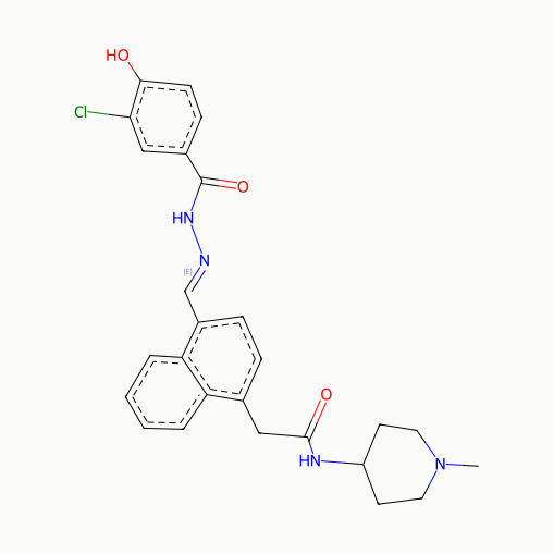 CN1CCC(NC(=O)Cc2ccc(/C=N/NC(=O)c3ccc(O)c(Cl)c3)c3ccccc23)CC1